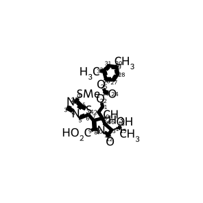 CSc1ncn2cc(C3=C(C(=O)O)N4C(=O)[C@H](C(C)O)[C@@H]4[C@@]3(C)CCOC(=O)Oc3ccc(C)cc3C)sc12